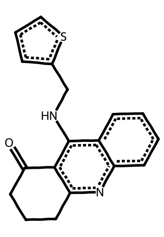 O=C1CCCc2nc3ccccc3c(NCc3cccs3)c21